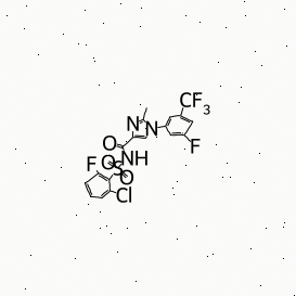 Cc1nc(C(=O)NS(=O)(=O)c2c(F)cccc2Cl)cn1-c1cc(F)cc(C(F)(F)F)c1